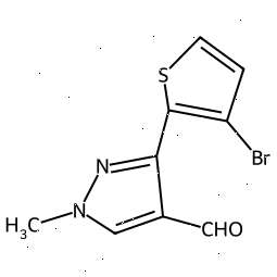 Cn1cc(C=O)c(-c2sccc2Br)n1